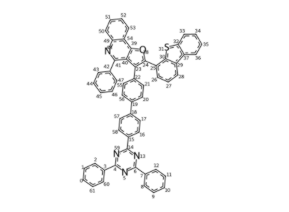 c1ccc(-c2nc(-c3ccccc3)nc(-c3ccc(-c4ccc(-c5c(-c6cccc7c6sc6ccccc67)oc6c5c(-c5ccccc5)nc5ccccc56)cc4)cc3)n2)cc1